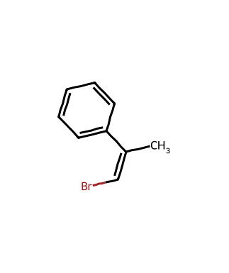 C/C(=C/Br)c1ccccc1